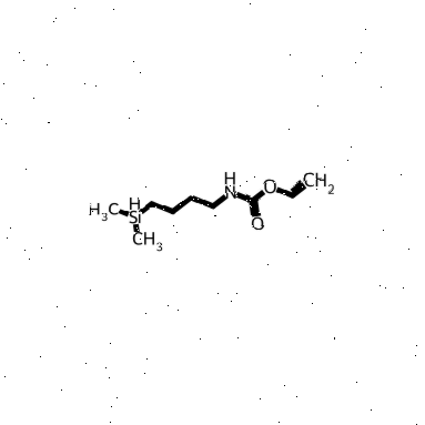 C=COC(=O)NCCCC[SiH](C)C